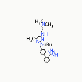 CCCCN(Cc1ccc(-c2ccccc2-c2nnn[nH]2)cc1)c1nc(C)cc(NCCCN(C)C)n1